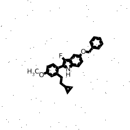 COc1ccc(-c2[nH]c3ccc(OCc4ccccc4)cc3c2F)c(CCC2CC2)c1